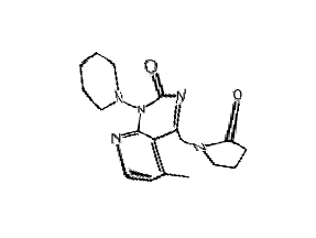 Cc1ccnc2c1c(N1CCCC1=O)nc(=O)n2N1CCCCC1